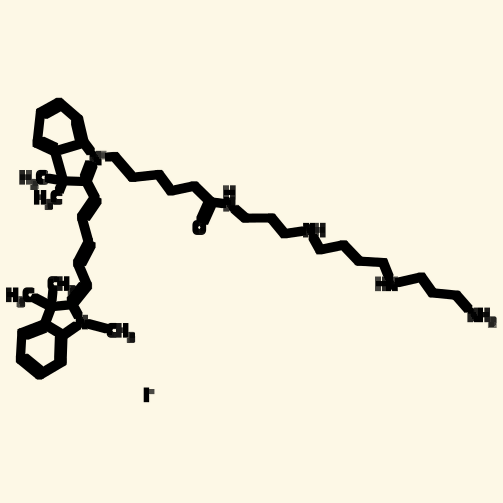 CN1/C(=C/C=C/C=C/C2=[N+](CCCCCC(=O)NCCCNCCCCNCCCN)c3ccccc3C2(C)C)C(C)(C)c2ccccc21.[I-]